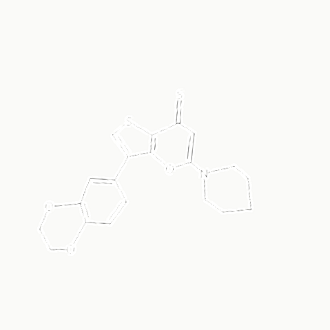 S=c1cc(N2CCCCC2)oc2c(-c3ccc4c(c3)OCCO4)csc12